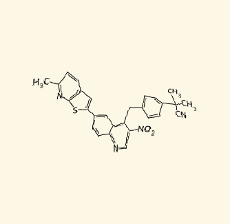 Cc1ccc2cc(-c3ccc4ncc([N+](=O)[O-])c(Cc5ccc(C(C)(C)C#N)cc5)c4c3)sc2n1